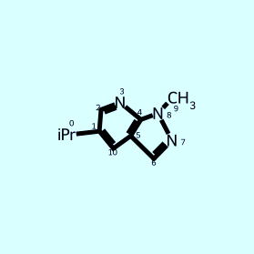 CC(C)c1cnc2c(cnn2C)c1